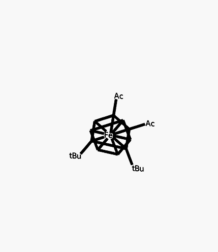 CC(=O)[C]12[CH]3[C]4(C(C)(C)C)[C]5(C(C)(C)C)[C]1(C(C)=O)[Fe]32451678[CH]2[CH]1[CH]6[CH]7[CH]28